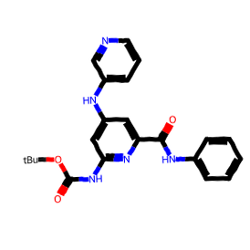 CC(C)(C)OC(=O)Nc1cc(Nc2cccnc2)cc(C(=O)Nc2ccccc2)n1